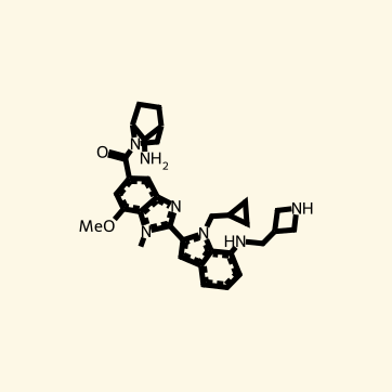 COc1cc(C(=O)N2CC3CCC2C3N)cc2nc(-c3cc4cccc(NCC5CNC5)c4n3CC3CC3)n(C)c12